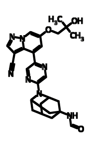 CC(C)(O)COc1cc(-c2cnc(N3C4CC5CC3CC(NC=O)(C5)C4)cn2)c2c(C#N)cnn2c1